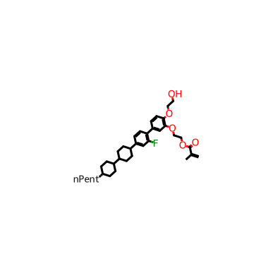 C=C(C)C(=O)OCCOc1cc(-c2ccc(C3CCC(C4CCC(CCCCC)CC4)CC3)cc2F)ccc1OCCO